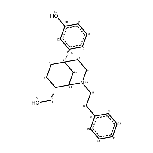 OC[C@@H]1CC[C@@]2(c3cccc(O)c3)CCN(CCc3ccccc3)C1C2